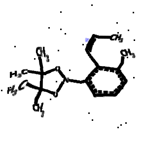 C/C=C\c1c(C)cccc1N1OC(C)(C)C(C)(C)O1